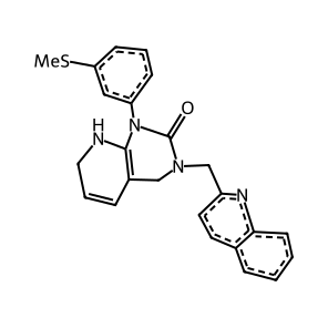 CSc1cccc(N2C(=O)N(Cc3ccc4ccccc4n3)CC3=C2NCC=C3)c1